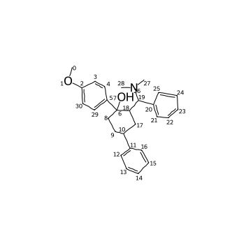 COc1ccc(C2(O)CCC(c3ccccc3)CC2C(c2ccccc2)N(C)C)cc1